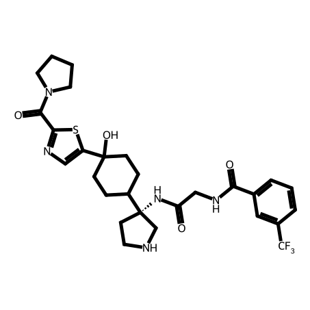 O=C(CNC(=O)c1cccc(C(F)(F)F)c1)N[C@@]1(C2CCC(O)(c3cnc(C(=O)N4CCCC4)s3)CC2)CCNC1